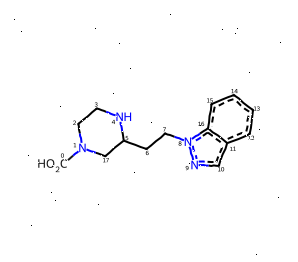 O=C(O)N1CCNC(CCn2ncc3ccccc32)C1